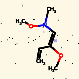 C=C/C(=C\N(C)OC)OC